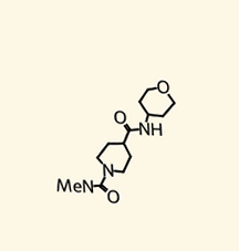 CNC(=O)N1CCC(C(=O)NC2CCOCC2)CC1